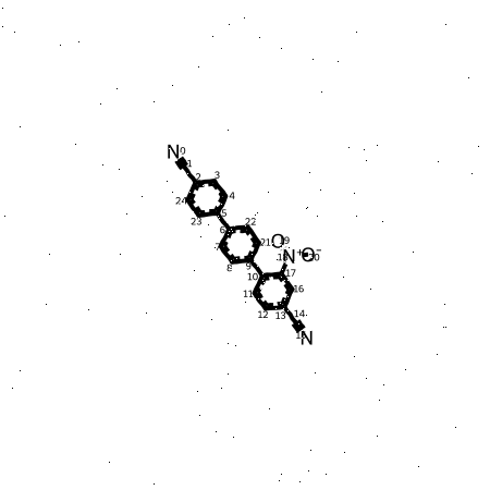 N#Cc1ccc(-c2ccc(-c3ccc(C#N)cc3[N+](=O)[O-])cc2)cc1